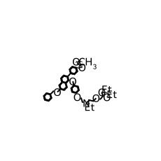 CCOC(COCCN(CC)CCOc1ccc(Oc2c(-c3ccc(S(C)(=O)=O)cc3)ccc3cc(OCc4ccccc4)ccc23)cc1)OCC